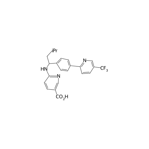 CC(C)CC(Nc1ccc(C(=O)O)cn1)c1ccc(-c2ccc(C(F)(F)F)cn2)cc1